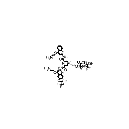 NCCOc1cc(C(=O)Nc2cc(OCCN)c3ccccc3n2)nc(C(=O)Nc2cc(OCCN)c3ccccc3n2)c1.O=C(O)C(F)(F)F.O=C(O)C(F)(F)F.O=C(O)C(F)(F)F